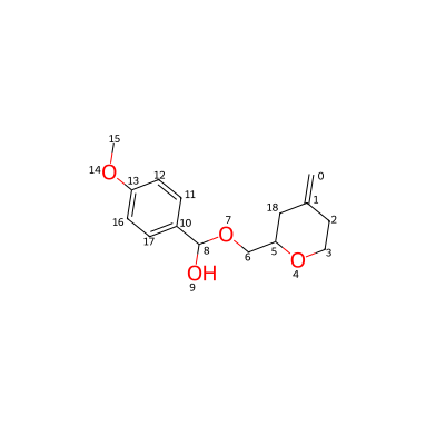 C=C1CCOC(COC(O)c2ccc(OC)cc2)C1